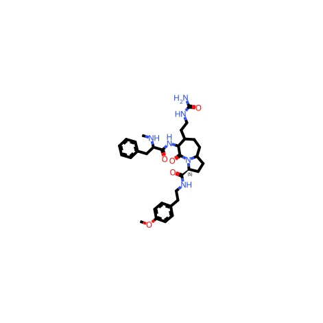 CNC(Cc1ccccc1)C(=O)NC1C(=O)N2C(CCC1CCNC(N)=O)CC[C@H]2C(=O)NCCc1ccc(OC)cc1